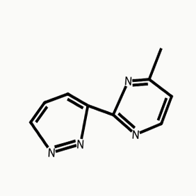 Cc1ccnc(-c2cccnn2)n1